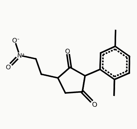 Cc1ccc(C)c(C2C(=O)CC(CC[N+](=O)[O-])C2=O)c1